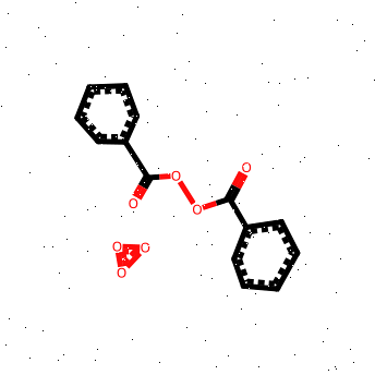 O=C(OOC(=O)c1ccccc1)c1ccccc1.o1oo1